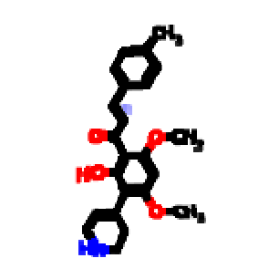 COc1cc(OC)c(C2=CCNCC2)c(O)c1C(=O)/C=C/c1ccc(C)cc1